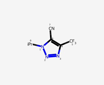 CC(C)n1nnc(C(F)(F)F)c1C#N